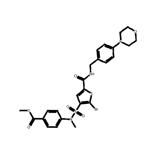 COC(=O)c1ccc(N(C)S(=O)(=O)c2cc(C(=O)NCc3ccc(N4CCOCC4)cc3)sc2Br)cc1